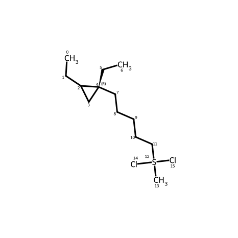 CCC1C[C@@]1(CC)CCCCCS(C)(Cl)Cl